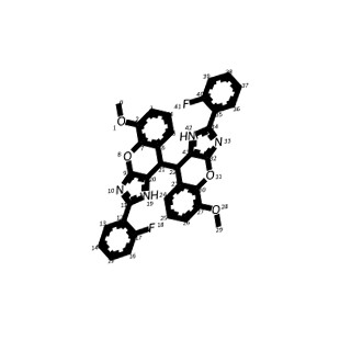 COc1cccc2c1Oc1nc(-c3ccccc3F)[nH]c1C2C1c2cccc(OC)c2Oc2nc(-c3ccccc3F)[nH]c21